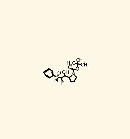 CC(C)(C)OC(=O)N1CCCC1C(O)C(F)S(=O)(=O)c1ccccc1